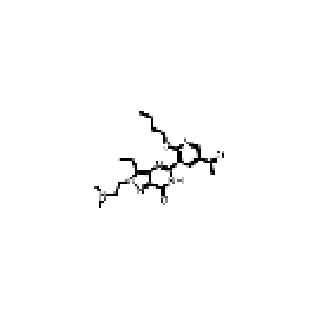 CCCCOc1ncc(C(C)=O)cc1-c1nc2c(CC)n(CCN(C)C)nc2c(=O)[nH]1